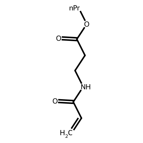 C=CC(=O)NCCC(=O)OCCC